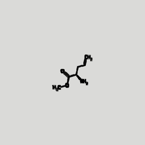 C=CC[C@@H](N)C(=O)OC